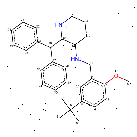 COc1ccc(C(C)(C)C)cc1CNC1CCCNC1C(c1ccccc1)c1ccccc1